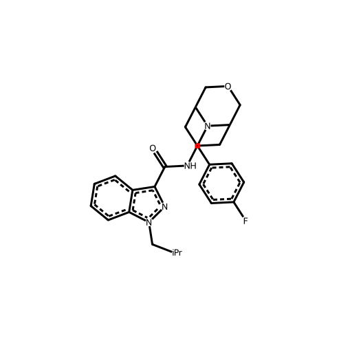 CC(C)Cn1nc(C(=O)NC2CC3COCC(C2)N3Cc2ccc(F)cc2)c2ccccc21